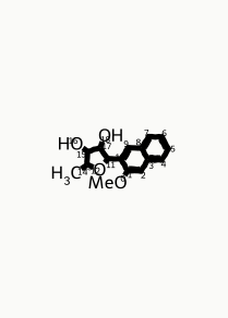 COc1cc2ccccc2cc1C1OC(C)C(O)C1O